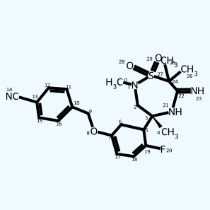 CN1C[C@@](C)(C2CC(OCc3ccc(C#N)cc3)=CC=C2F)NC(=N)C(C)(C)S1(=O)=O